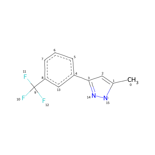 CC1=CC(c2cccc(C(F)(F)F)c2)=N[N]1